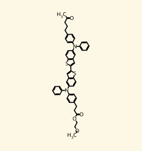 COCCOC(=O)CCc1ccc(N(c2ccccc2)c2ccc3sc(-c4cc5cc(N(c6ccccc6)c6ccc(CCCC(C)=O)cc6)ccc5s4)cc3c2)cc1